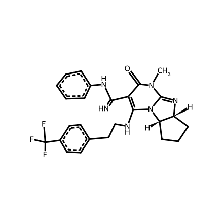 CN1C(=O)C(C(=N)Nc2ccccc2)=C(NCCc2ccc(C(F)(F)F)cc2)N2C1=N[C@@H]1CCC[C@@H]12